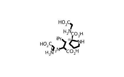 CC(C)CC(N)C(=O)O.NCC(=O)O.NCC(=O)O.O=C(O)[C@@H]1CCCN1